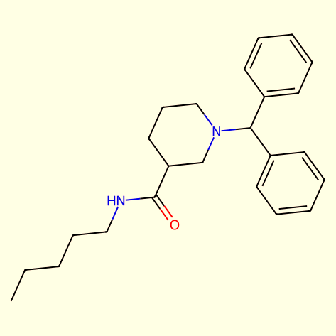 CCCCCNC(=O)C1CCCN(C(c2ccccc2)c2ccccc2)C1